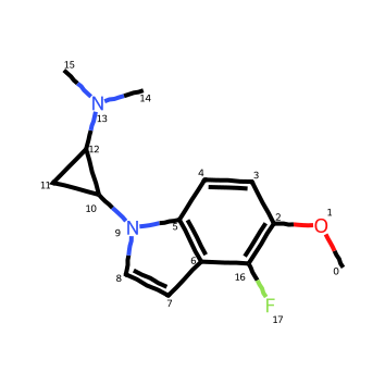 COc1ccc2c(ccn2C2CC2N(C)C)c1F